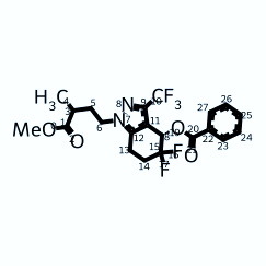 COC(=O)C(C)CCn1nc(C(F)(F)F)c2c1CCC(F)(F)[C@H]2OC(=O)c1ccccc1